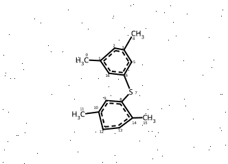 Cc1cc(C)cc(Sc2cc(C)ccc2C)c1